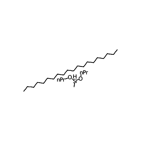 CCCCCCCCCCCCCCCCCCCC.CCCO[SiH](C)OCCC